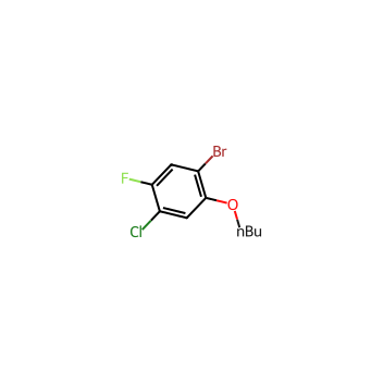 CCCCOc1cc(Cl)c(F)cc1Br